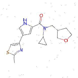 Cc1nc(-c2c[nH]c(C(=O)N(CC3CCOC3)C3CC3)c2)cs1